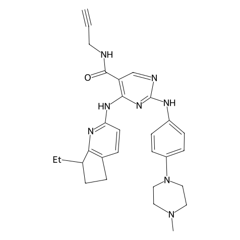 C#CCNC(=O)c1cnc(Nc2ccc(N3CCN(C)CC3)cc2)nc1Nc1ccc2c(n1)C(CC)CC2